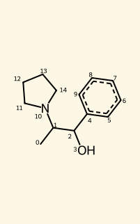 CC(C(O)c1ccccc1)N1CCCC1